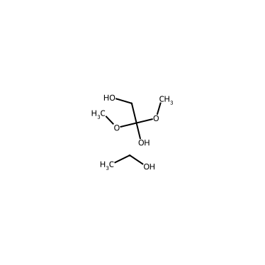 CCO.COC(O)(CO)OC